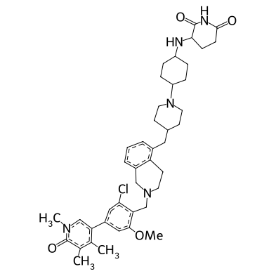 COc1cc(-c2cn(C)c(=O)c(C)c2C)cc(Cl)c1CN1CCc2c(CC3CCN(C4CCC(NC5CCC(=O)NC5=O)CC4)CC3)cccc2C1